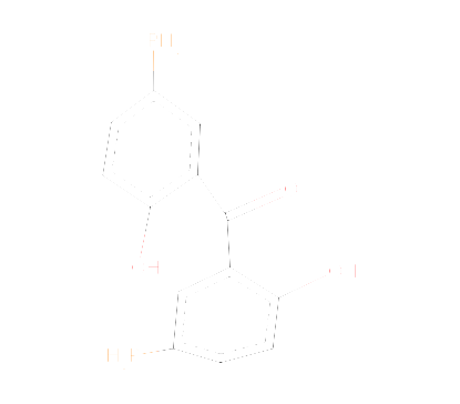 O=C(c1cc(P)ccc1O)c1cc(P)ccc1O